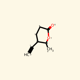 C#CC1CCC(=O)OC1C